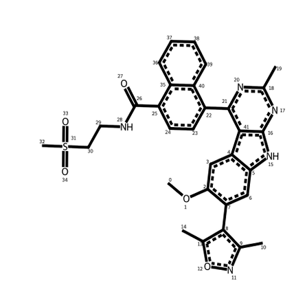 COc1cc2c(cc1-c1c(C)noc1C)[nH]c1nc(C)nc(-c3ccc(C(=O)NCCS(C)(=O)=O)c4ccccc34)c12